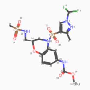 Cc1nn(C(F)F)cc1S(=O)(=O)N1C[C@H](CNS(C)(=O)=O)Oc2ccc(NC(=O)OC(C)(C)C)cc21